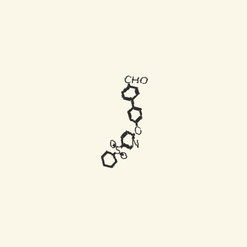 O=Cc1ccc(-c2ccc(Oc3ccc(S(=O)(=O)C4CCCCC4)cn3)cc2)cc1